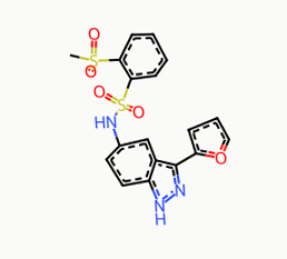 CS(=O)(=O)c1ccccc1S(=O)(=O)Nc1ccc2[nH]nc(-c3ccco3)c2c1